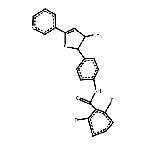 CC1C=C(c2cccnc2)SC1c1ccc(NC(=O)c2c(F)cccc2F)cc1